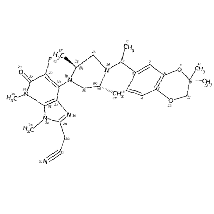 CC(c1ccc2c(c1)OC(C)(C)CO2)N1C[C@H](C)N(c2c(F)c(=O)n(C)c3c2nc(CC#N)n3C)C[C@H]1C